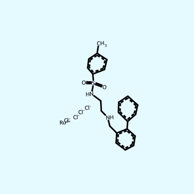 Cc1ccc(S(=O)(=O)NCCNCc2ccccc2-c2ccccc2)cc1.[Cl-].[Cl-].[Cl-].[Cl-].[Ru+4]